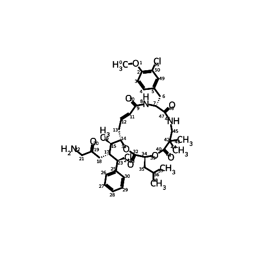 COc1ccc(C[C@H]2NC(=O)/C=C/C[C@@H]([C@H](C)[C@@H](CC(=O)CN)[C@@H](Cl)c3ccccc3)OC(=O)[C@H](CC(C)C)OC(=O)C(C)(C)CNC2=O)cc1Cl